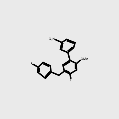 COc1cc(F)c(Cc2ccc(F)cc2)cc1-c1cccc([N+](=O)[O-])c1